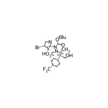 C[C@@H]([C@@H](CO)c1ccc(C(F)(F)F)cc1)N(C(=O)O)N(C(=O)OC(C)(C)C)c1ncc(Br)s1